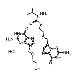 CC(C)[C@H](N)C(=O)OCCOCn1cnc2c(=O)[nH]c(N)nc21.Cl.Nc1nc2c(ncn2COCCO)c(=O)[nH]1